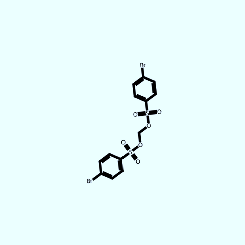 O=S(=O)(OCOS(=O)(=O)c1ccc(Br)cc1)c1ccc(Br)cc1